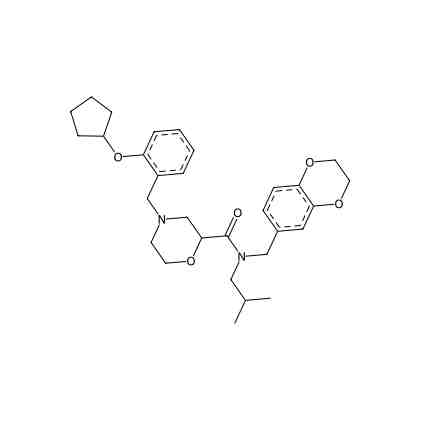 CC(C)CN(Cc1ccc2c(c1)OCCO2)C(=O)C1CN(Cc2ccccc2OC2CCCC2)CCO1